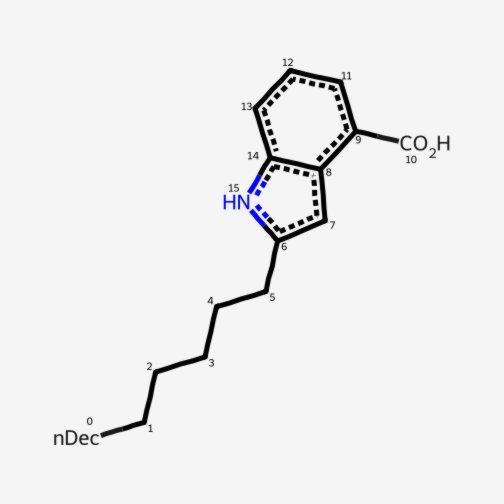 CCCCCCCCCCCCCCCc1cc2c(C(=O)O)cccc2[nH]1